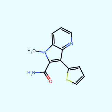 Cn1c(C(N)=O)c(-c2cccs2)c2ncccc21